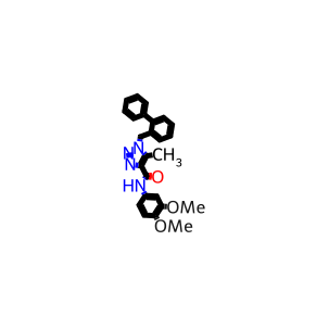 COc1ccc(NC(=O)c2nnn(Cc3ccccc3-c3ccccc3)c2C)cc1OC